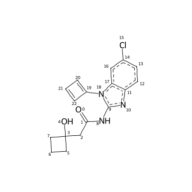 O=C(CC1(O)CCC1)Nc1nc2ccc(Cl)cc2n1C1=CC=C1